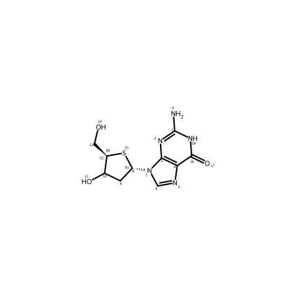 Nc1nc2c(ncn2[C@@H]2CC(O)[C@@H](CO)S2)c(=O)[nH]1